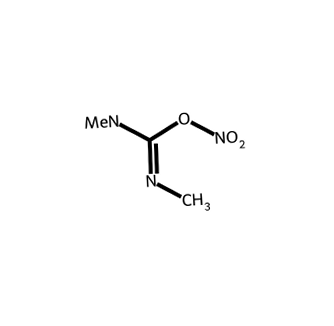 C/N=C(/NC)O[N+](=O)[O-]